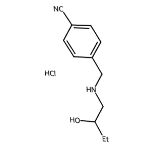 CCC(O)CNCc1ccc(C#N)cc1.Cl